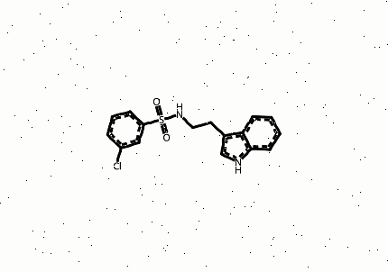 O=S(=O)(NCCc1c[nH]c2ccccc12)c1cccc(Cl)c1